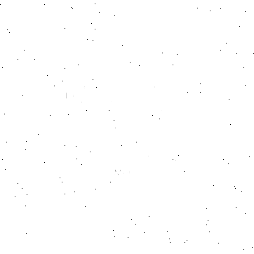 COC(=O)c1cc(C(=O)O)ccc1Cl